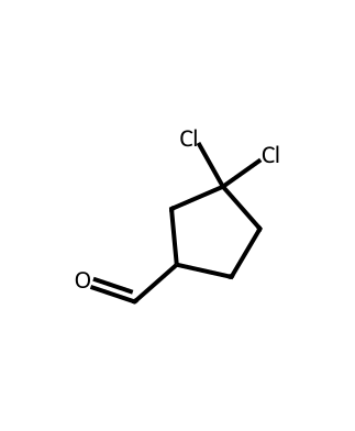 O=CC1CCC(Cl)(Cl)C1